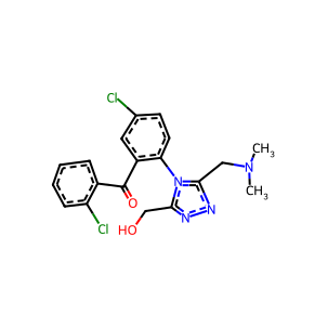 CN(C)Cc1nnc(CO)n1-c1ccc(Cl)cc1C(=O)c1ccccc1Cl